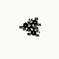 N#CC(=C1C(=C(\C#N)c2c(C(F)(F)F)ccc(C#N)c2C(F)(F)F)/C1=C(\C#N)c1c(C(F)(F)F)c(C#N)cc(C#N)c1C(F)(F)F)c1c(C(F)(F)F)c(C#N)cc(C#N)c1C(F)(F)F